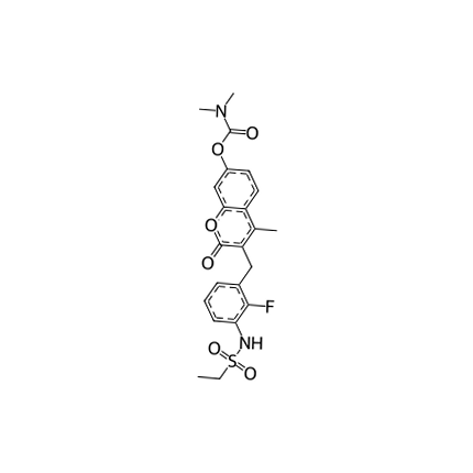 CCS(=O)(=O)Nc1cccc(Cc2c(C)c3ccc(OC(=O)N(C)C)cc3oc2=O)c1F